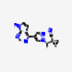 CC(n1cc(-c2ncnc3[nH]ccc23)cn1)C1(C#N)CC1